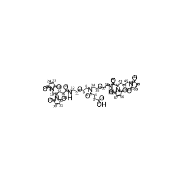 O=C(O)CCC(=O)N(CCOCCNC(=O)CCC(CN1C(=O)C=CC1=O)N1C(=O)C=CC1=O)CCOCCNC(=O)C(CCCN1C(=O)C=CC1=O)N1C(=O)C=CC1=O